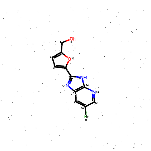 OCc1ccc(-c2nc3cc(Br)cnc3[nH]2)o1